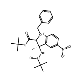 CC(C)(C)OC(=O)C(OCc1ccccc1)[C@](C)(N[S@+]([O-])C(C)(C)C)c1cc([N+](=O)[O-])ccc1F